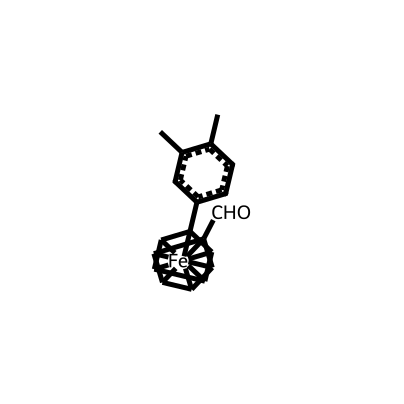 Cc1ccc([C]23[CH]4[CH]5[CH]6[CH]2[Fe]56432789[CH]3[CH]2[CH]7[C]8(C=O)[CH]39)cc1C